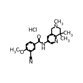 COc1ccc(C(=O)Nc2cnc3c(c2)CN(C)CC3(C)C)cc1C#N.Cl